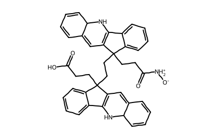 O=C(O)CCC1(CCC2(CCC(=O)[NH2+][O-])C3=C(NC4C=CC=CC4=C3)c3ccccc32)C2=C(NC3C=CC=CC3=C2)c2ccccc21